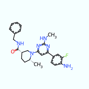 CNc1nc(-c2ccc(N)c(F)c2)cc(N2C[C@@H](C(=O)NCc3ccccc3)CC[C@H]2C)n1